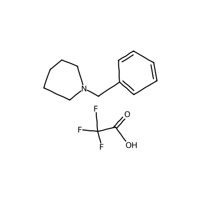 O=C(O)C(F)(F)F.c1ccc(CN2CCCCC2)cc1